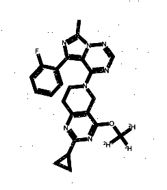 [2H]C([2H])([2H])Oc1nc(C2CC2)nc2c1CN(c1ncnn3c(C)nc(-c4ccccc4F)c13)CC2